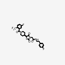 O=C(CN1C(=O)SC(=C2CCN(C(=O)c3cc(F)ccc3C(F)(F)F)CC2)C1=O)NCCc1ccc(F)cc1